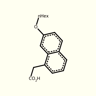 CCCCCCOc1ccc2cccc(CC(=O)O)c2c1